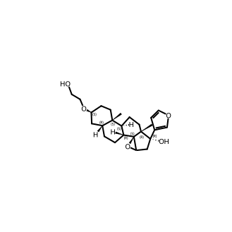 C[C@]12CC[C@H](OCCO)C[C@H]1CC[C@@H]1[C@@H]2CC[C@]2(C)[C@@](O)(c3ccoc3)CC3O[C@@]312